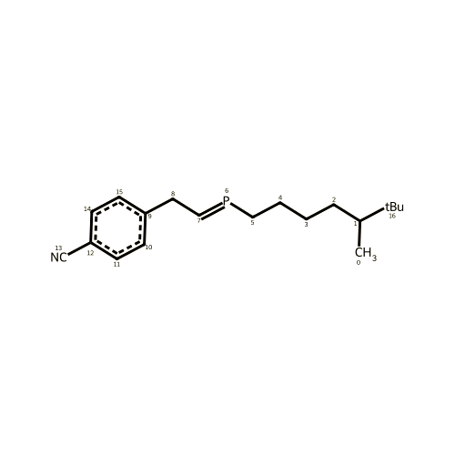 CC(CCCC/P=C/Cc1ccc(C#N)cc1)C(C)(C)C